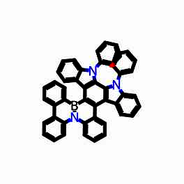 c1ccc(-n2c3ccccc3c3c4c(c5c6ccccc6n(-c6ccccc6)c5c32)-c2ccccc2N2B4c3ccccc3-c3ccccc32)cc1